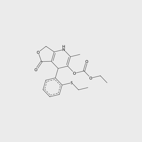 CCOC(=O)OC1=C(C)NC2=C(C(=O)OC2)C1c1ccccc1SCC